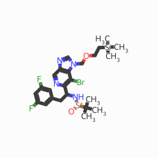 CC(C)(C)[S+]([O-])NC(Cc1cc(F)cc(F)c1)c1ncc2ncn(COCC[Si](C)(C)C)c2c1Br